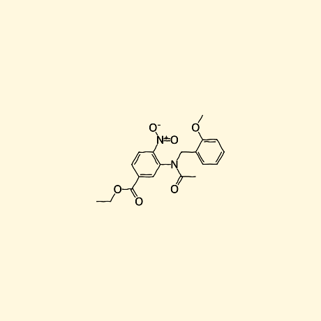 CCOC(=O)c1ccc([N+](=O)[O-])c(N(Cc2ccccc2OC)C(C)=O)c1